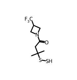 CC(C)(CC(=O)N1CC(C(F)(F)F)C1)SS